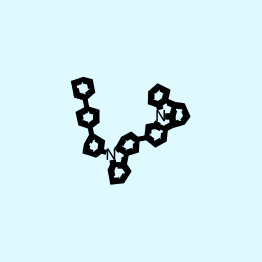 c1ccc(-c2ccc(-c3cccc(-n4c5ccccc5c5cc(-c6ccc7c8cccc9c%10ccccc%10n(c7c6)c98)ccc54)c3)cc2)cc1